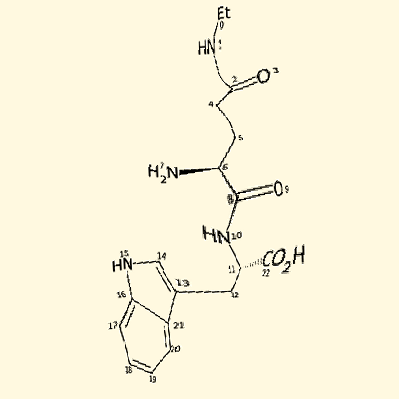 CCNC(=O)CC[C@H](N)C(=O)N[C@@H](Cc1c[nH]c2ccccc12)C(=O)O